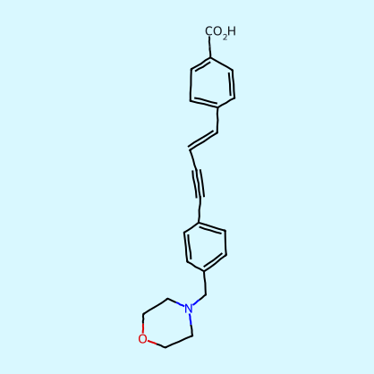 O=C(O)c1ccc(C=CC#Cc2ccc(CN3CCOCC3)cc2)cc1